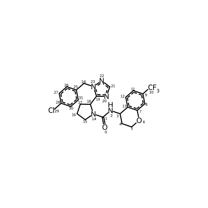 O=C(NC1CCOc2cc(C(F)(F)F)ccc21)N1CCCC1c1ncnn1Cc1ccc(Cl)cc1